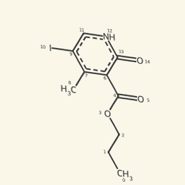 CCCOC(=O)c1c(C)c(I)c[nH]c1=O